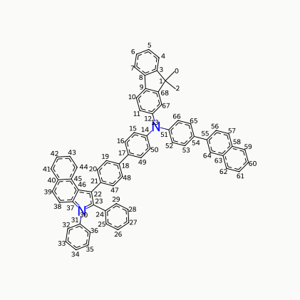 CC1(C)c2ccccc2-c2ccc(N(c3ccc(-c4ccc(-c5c(-c6ccccc6)n(-c6ccccc6)c6ccc7ccccc7c56)cc4)cc3)c3ccc(-c4ccc5ccccc5c4)cc3)cc21